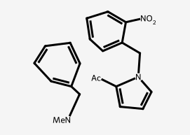 CC(=O)c1cccn1Cc1ccccc1[N+](=O)[O-].CNCc1ccccc1